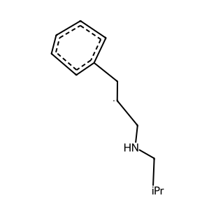 CC(C)CNC[CH]Cc1ccccc1